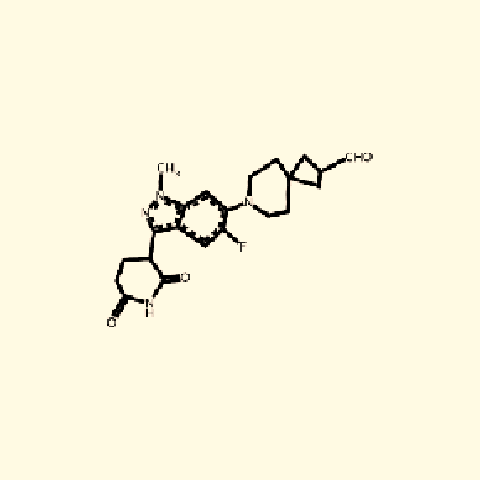 Cn1nc(C2CCC(=O)NC2=O)c2cc(F)c(N3CCC4(CC3)CC(C=O)C4)cc21